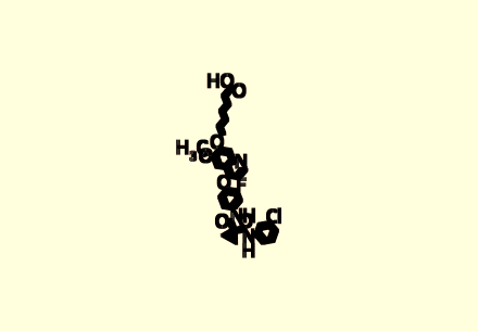 COc1cc2c(Oc3ccc(NC(=O)C4(C(=O)Nc5cccc(Cl)c5)CC4)cc3F)ccnc2cc1OCCCCCCC(=O)O